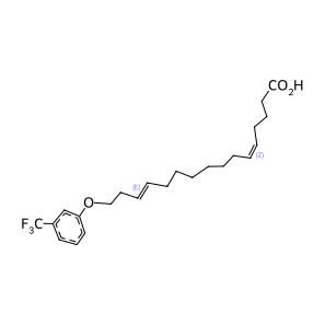 O=C(O)CCC/C=C\CCCCCC/C=C/CCOc1cccc(C(F)(F)F)c1